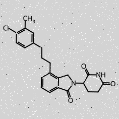 Cc1cc(CCCc2cccc3c2CN(C2CCC(=O)NC2=O)C3=O)ccc1Cl